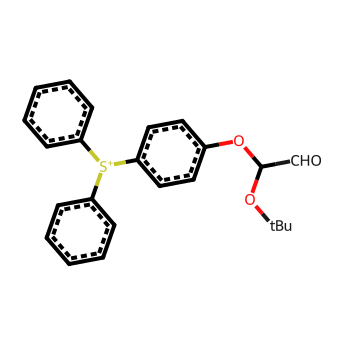 CC(C)(C)OC(C=O)Oc1ccc([S+](c2ccccc2)c2ccccc2)cc1